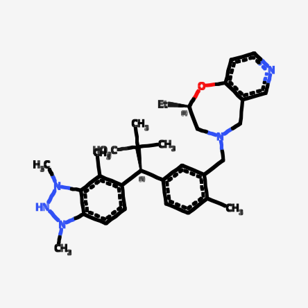 CC[C@@H]1CN(Cc2cc([C@@H](c3ccc4c(c3C)N(C)NN4C)C(C)(C)C(=O)O)ccc2C)Cc2cnccc2O1